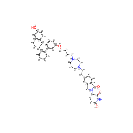 O=C1CC[C@H](N2Cc3cc(CCN4CCCN(CCCCOc5ccc([C@@H]6c7ccc(O)cc7CCC6c6ccccc6)cc5)CC4)ccc3C2=O)C(=O)N1